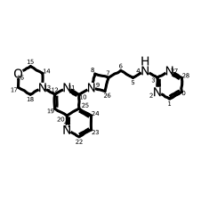 c1cnc(NCCC2CN(c3nc(N4CCOCC4)cc4ncccc34)C2)nc1